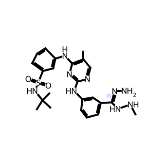 CNN/C(=N\N)c1cccc(Nc2ncc(C)c(Nc3cccc(S(=O)(=O)NC(C)(C)C)c3)n2)c1